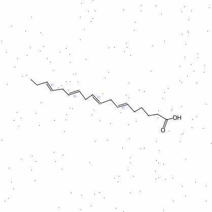 CC/C=C/C/C=C/C/C=C/C/C=C/CCCCC(=O)O